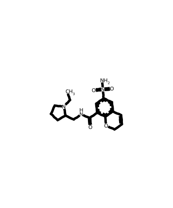 CCN1CCCC1CNC(=O)c1cc(S(N)(=O)=O)cc2c1OCC=C2